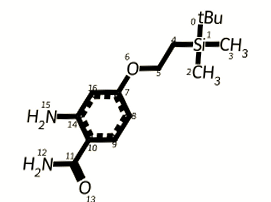 CC(C)(C)[Si](C)(C)CCOc1ccc(C(N)=O)c(N)c1